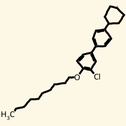 CCCCCCCCCCOc1ccc(-c2ccc(C3CC[CH]CC3)cc2)cc1Cl